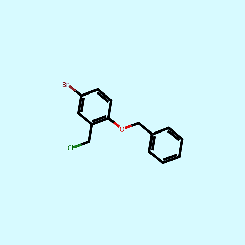 ClCc1cc(Br)ccc1OCc1ccccc1